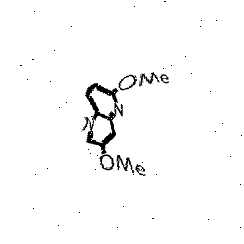 COc1cnc2ccc(OC)nc2c1